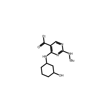 CCC(=O)c1cnc(NC(C)(C)C)nc1NC1CCCC(O)C1